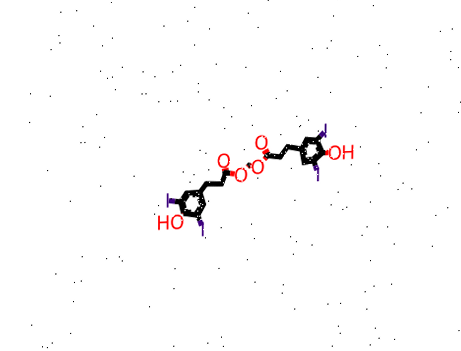 O=C(CCc1cc(I)c(O)c(I)c1)OCOC(=O)CCc1cc(I)c(O)c(I)c1